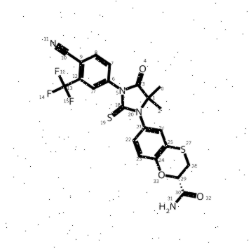 CC1(C)C(=O)N(c2ccc(C#N)c(C(F)(F)F)c2)C(=S)N1c1ccc2c(c1)SC[C@H](C(N)=O)O2